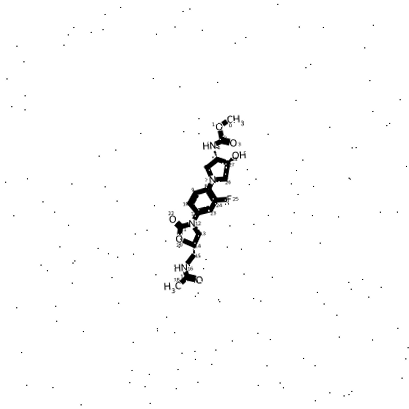 COC(=O)N[C@H]1CN(c2ccc(N3C[C@H](CNC(C)=O)OC3=O)cc2F)C[C@@H]1O